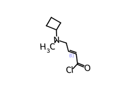 CN(C/C=C/C(=O)Cl)C1CCC1